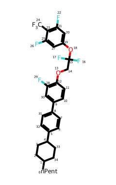 CCCCCC1CCC(c2ccc(-c3ccc(OCC(F)(F)Oc4cc(F)c(C(F)(F)F)c(F)c4)c(F)c3)cc2)CC1